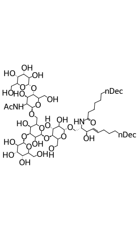 CCCCCCCCCCCCC/C=C/[C@@H](O)[C@H](CO[C@@H]1OC(CO)[C@@H](O[C@@H]2OC(CO[C@@H]3OC(CO)[C@@H](O[C@@H]4OC(CO)[C@H](O)[C@H](O)C4O)[C@H](O)C3NC(C)=O)[C@H](O)[C@H](O[C@H]3OC(CO)[C@H](O)[C@H](O)C3O)C2O)[C@H](O)C1O)NC(=O)CCCCCCCCCCCCCCC